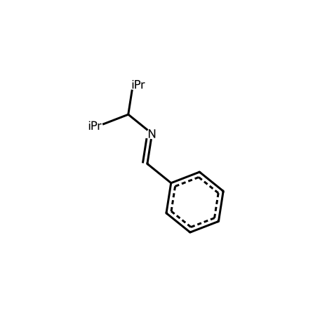 CC(C)C(N=Cc1ccccc1)C(C)C